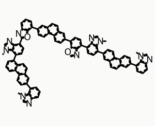 Cn1cnc2cccc(-c3ccc4c(ccc5cc(-c6ccc(-c7ccc(-c8ccc9c(ccc%10cc(-c%11cccc%12nc(-c%13ccc(-c%14cccc%15c%14ccc%14cc(-c%16cccc%17ncn(C)c%16%17)ccc%14%15)c%14c%13ncn%14C)oc%11%12)ccc%109)c8)c8ocnc78)c7ncn(C)c67)ccc54)c3)c21